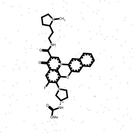 COC(=O)N[C@H]1CCN(c2c(F)cc3c(=O)c(C(=O)NCCC4CCCN4C)cn4c3c2Oc2cc3ccccc3cc2-4)C1